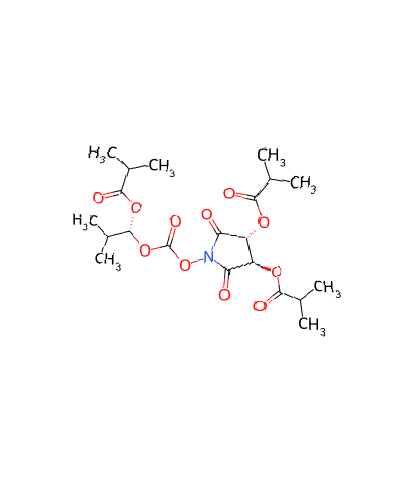 CC(C)C(=O)O[C@H](OC(=O)ON1C(=O)[C@H](OC(=O)C(C)C)[C@@H](OC(=O)C(C)C)C1=O)C(C)C